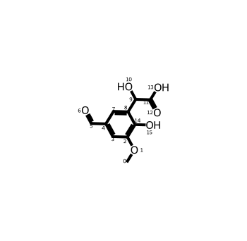 COc1cc(C=O)cc(C(O)C(=O)O)c1O